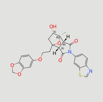 C[C@]12OC(CCOc3ccc4c(c3)OCO4)(C[C@@H]1O)[C@H]1C(=O)N(c3ccc4ncsc4c3)C(=O)[C@H]12